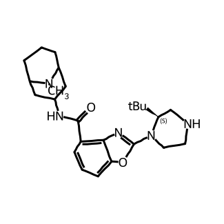 CN1C2CCCC1CC(NC(=O)c1cccc3oc(N4CCNC[C@@H]4C(C)(C)C)nc13)C2